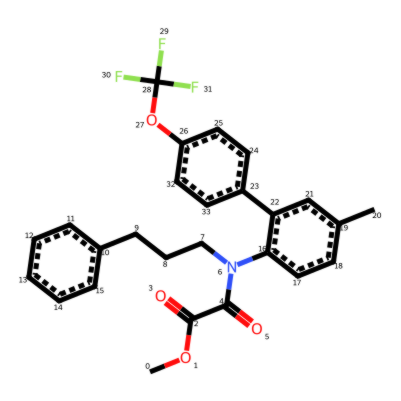 COC(=O)C(=O)N(CCCc1ccccc1)c1ccc(C)cc1-c1ccc(OC(F)(F)F)cc1